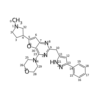 CN1CCC(c2cc3nc(Cc4cc(-c5ccccc5)n[nH]4)nc(N4CCOCC4)c3o2)C1